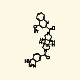 CC(C)Oc1cc(C(=O)N2C[C@@H]3[C@H]4CN(C(=O)c5ccc6[nH]nnc6c5)C[C@H]4[C@@H]3C2)nc2ccccc12